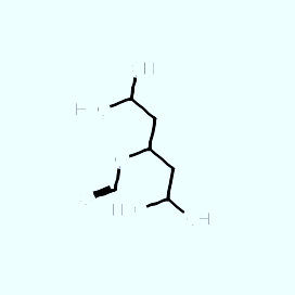 CC(C)CC(CC(C)C)OC=O